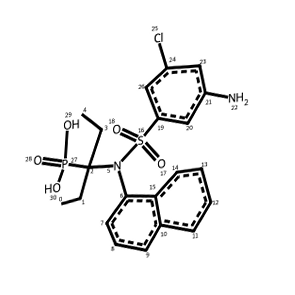 CCC(CC)(N(c1cccc2ccccc12)S(=O)(=O)c1cc(N)cc(Cl)c1)P(=O)(O)O